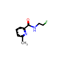 Cc1cccc(C(=O)NCCF)n1